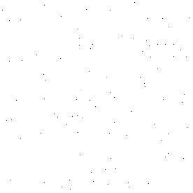 CCCC1(C(=O)c2cccc(Cl)c2Oc2ccccc2)CCNC1